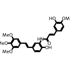 COc1ccc(/C=C/C(=O)Nc2cc(C=Cc3cc(OC)c(OC)c(OC)c3)ccc2O)cc1O